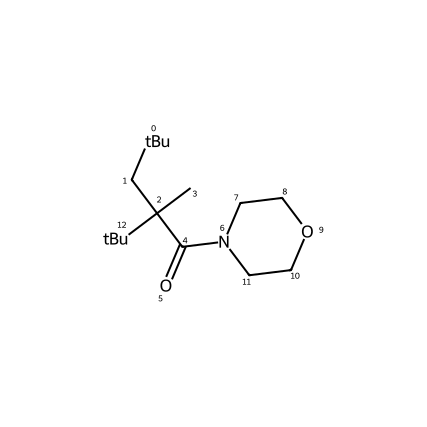 CC(C)(C)CC(C)(C(=O)N1CCOCC1)C(C)(C)C